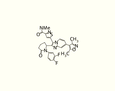 CNC(=O)c1cc(-c2c(C3CCCC(=O)N3c3ccc(F)c(F)c3)nc3cc(-c4c(C)noc4C)ccn23)sn1